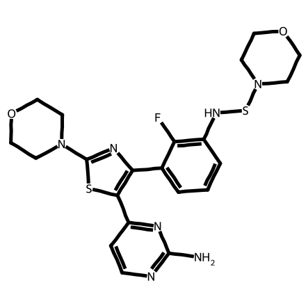 Nc1nccc(-c2sc(N3CCOCC3)nc2-c2cccc(NSN3CCOCC3)c2F)n1